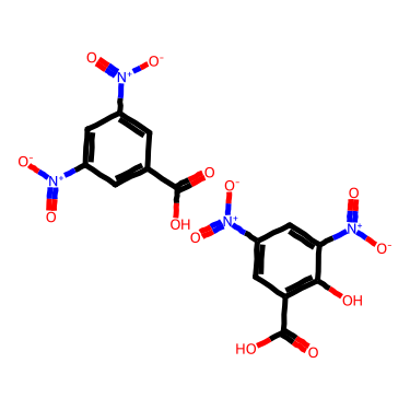 O=C(O)c1cc([N+](=O)[O-])cc([N+](=O)[O-])c1.O=C(O)c1cc([N+](=O)[O-])cc([N+](=O)[O-])c1O